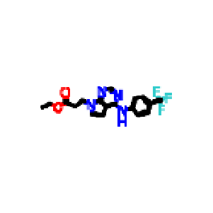 CCOC(=O)CCn1ccc2c(Nc3ccc(C(F)(F)F)cc3)ncnc21